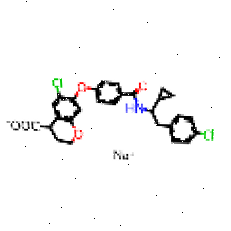 O=C(NC(Cc1ccc(Cl)cc1)C1CC1)c1ccc(Oc2cc3c(cc2Cl)C(C(=O)[O-])CCO3)cc1.[Na+]